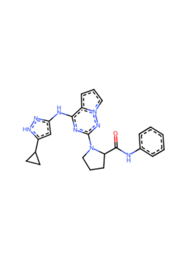 O=C(Nc1ccccc1)C1CCCN1c1nc(Nc2cc(C3CC3)[nH]n2)c2cccn2n1